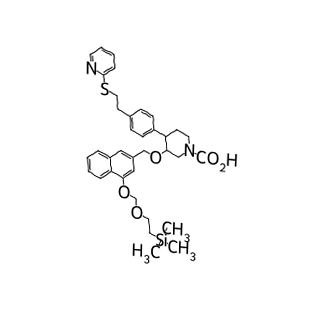 C[Si](C)(C)CCOCOc1cc(COC2CN(C(=O)O)CCC2c2ccc(CCSc3ccccn3)cc2)cc2ccccc12